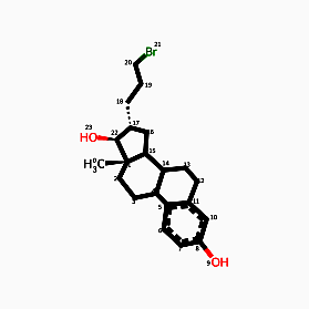 C[C@]12CCC3c4ccc(O)cc4CCC3C1C[C@@H](CCCBr)[C@@H]2O